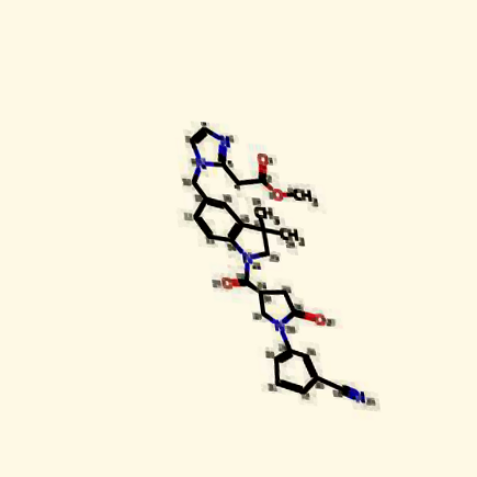 COC(=O)Cc1nccn1Cc1ccc2c(c1)C(C)(C)CN2C(=O)[C@H]1CC(=O)N(c2cccc(C#N)c2)C1